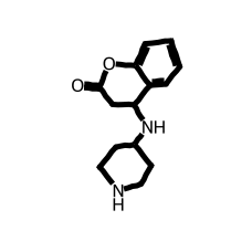 O=C1CC(NC2CCNCC2)c2ccccc2O1